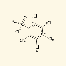 O=S(=O)(Cl)c1c(Cl)c(Cl)c(Cl)c(Cl)c1Cl